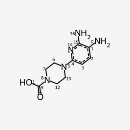 Nc1ccc(N2CCN(C(=O)O)CC2)nc1N